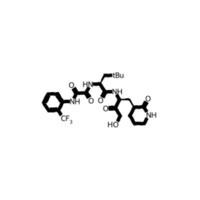 CC(C)(C)C[C@H](NC(=O)C(=O)Nc1ccccc1C(F)(F)F)C(=O)N[C@@H](C[C@@H]1CCCNC1=O)C(=O)CO